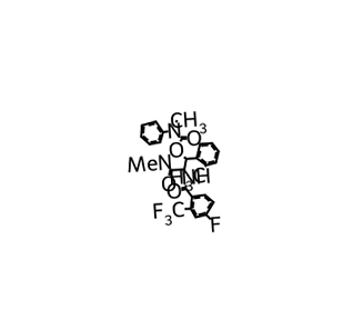 CNC(=O)[C@@H](NC(=O)c1ccc(F)cc1C(F)(F)F)C(OC(=O)N(C)c1ccccc1)c1ccccc1C